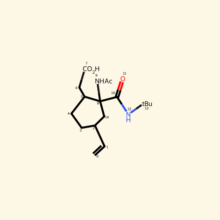 C=CC1CCC(CC(=O)O)C(NC(C)=O)(C(=O)NC(C)(C)C)C1